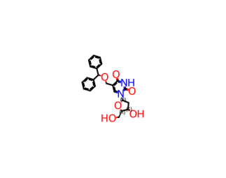 O=c1[nH]c(=O)n([C@H]2C[C@H](O)[C@@H](CO)O2)cc1COC(c1ccccc1)c1ccccc1